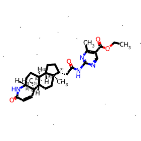 CCOC(=O)c1cnc(NC(=O)C[C@H]2CC[C@H]3[C@@H]4CC[C@H]5NC(=O)C=C[C@]5(C)[C@H]4CC[C@]23C)nc1C